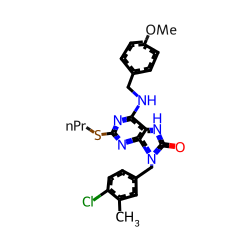 CCCSc1nc(NCc2ccc(OC)cc2)c2[nH]c(=O)n(Cc3ccc(Cl)c(C)c3)c2n1